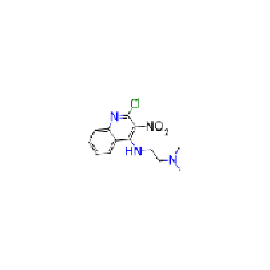 CN(C)CCNc1c([N+](=O)[O-])c(Cl)nc2ccccc12